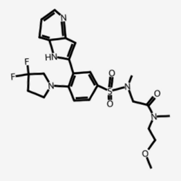 COCCN(C)C(=O)CN(C)S(=O)(=O)c1ccc(N2CCC(F)(F)C2)c(-c2cc3ncccc3[nH]2)c1